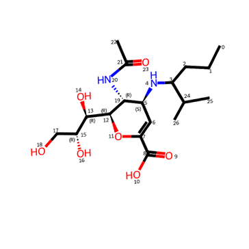 CCCC(N[C@H]1C=C(C(=O)O)O[C@@H]([C@H](O)[C@H](O)CO)[C@@H]1NC(C)=O)C(C)C